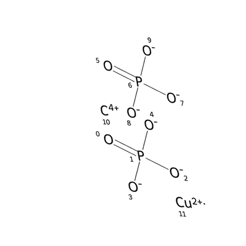 O=P([O-])([O-])[O-].O=P([O-])([O-])[O-].[C+4].[Cu+2]